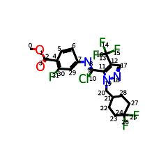 COC(=O)c1ccc(/N=C(\Cl)c2c(C(F)(F)F)cnn2CC2CCC(F)(F)CC2)cc1F